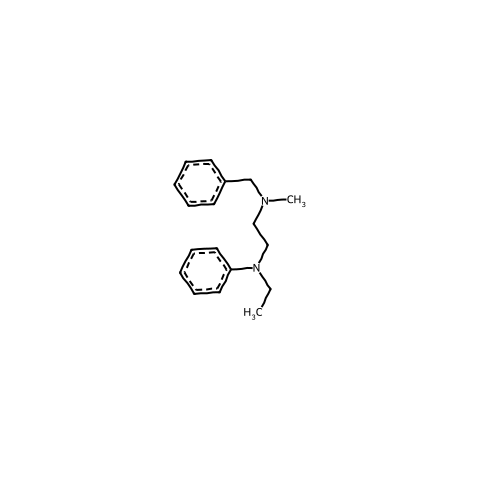 CCN(CCN(C)Cc1ccccc1)c1ccccc1